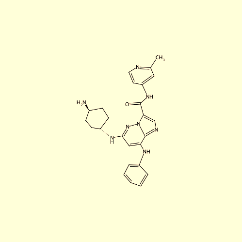 Cc1cc(NC(=O)c2cnc3c(Nc4ccccc4)cc(N[C@H]4CC[C@H](N)CC4)nn23)ccn1